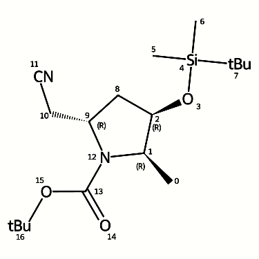 C[C@@H]1[C@H](O[Si](C)(C)C(C)(C)C)C[C@@H](CC#N)N1C(=O)OC(C)(C)C